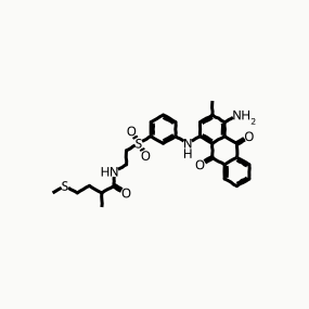 CSCCC(C)C(=O)NCCS(=O)(=O)c1cccc(Nc2cc(C)c(N)c3c2C(=O)c2ccccc2C3=O)c1